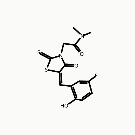 CN(C)C(=O)CN1C(=O)/C(=C\c2cc(F)ccc2O)SC1=S